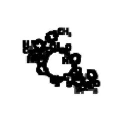 CCn1c(-c2cc(N3CCN(C)CC3)cnc2[C@H](C)OC)c2c3cc(ccc31)-c1csc(n1)C[C@H](NC(=O)[C@H](C(C)C)N(C)C(=O)[C@@H]1CCCS1(=O)=O)C(=O)N1CCC[C@H](N1)C(=O)OCC(C)(C)C2